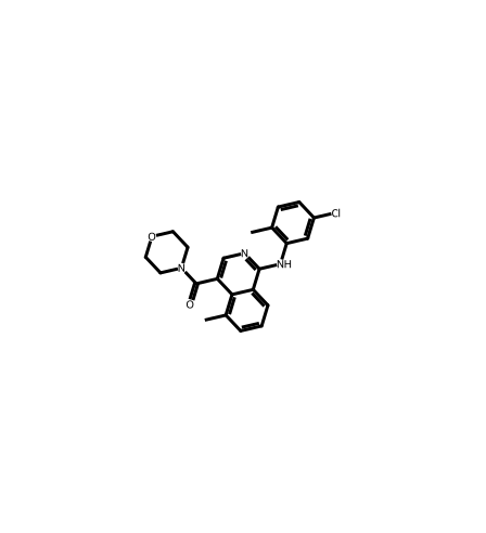 Cc1ccc(Cl)cc1Nc1ncc(C(=O)N2CCOCC2)c2c(C)cccc12